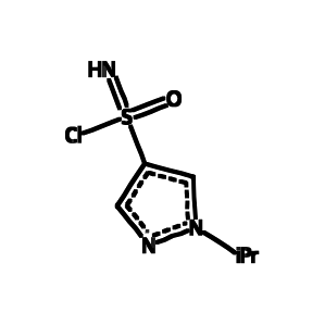 CC(C)n1cc(S(=N)(=O)Cl)cn1